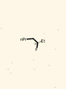 [CH2]CCC[C@@H](F)CC